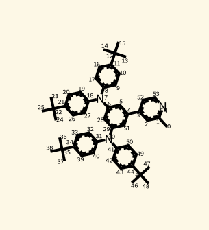 Cc1cc(-c2cc(N(c3ccc(C(C)(C)C)cc3)c3ccc(C(C)(C)C)cc3)cc(N(c3ccc(C(C)(C)C)cc3)c3ccc(C(C)(C)C)cc3)c2)ccn1